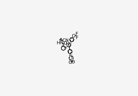 N#CC1(NC(=O)[C@@H]2CCCC[C@H]2c2nn(-c3ccc(OC(F)F)cc3)cc2-c2ccc(N3CCS(=O)(=O)CC3)cc2)CC1